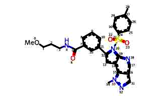 COCCCNC(=O)c1cccc(-c2cc3c4c(cnc3n2S(=O)(=O)c2ccc(C)cc2)cnn4C)c1